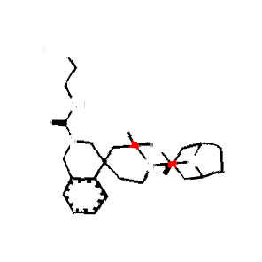 CCCNC(=O)N1Cc2ccccc2C2(CCN(C3CC4CCC(C3)N4C(=O)OCC)CC2)C1